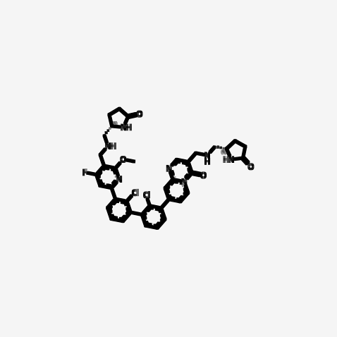 COc1nc(-c2cccc(-c3cccc(-c4ccn5c(=O)c(CNC[C@@H]6CCC(=O)N6)cnc5c4)c3Cl)c2Cl)cc(F)c1CNC[C@@H]1CCC(=O)N1